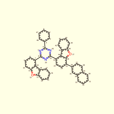 c1ccc(-c2nc(-c3cccc4oc5ccccc5c34)nc(-c3ccc(-c4ccc5ccccc5c4)c4oc5ccccc5c34)n2)cc1